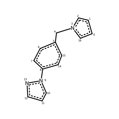 c1ccn(Cc2ccc(-n3cccn3)cc2)c1